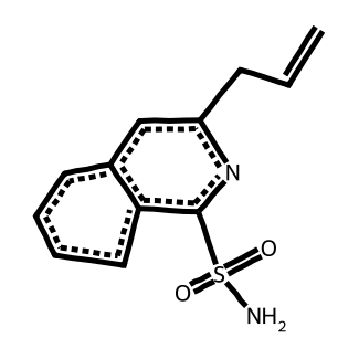 C=CCc1cc2ccccc2c(S(N)(=O)=O)n1